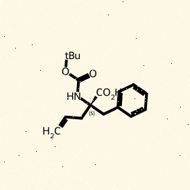 C=CC[C@@](Cc1ccccc1)(NC(=O)OC(C)(C)C)C(=O)O